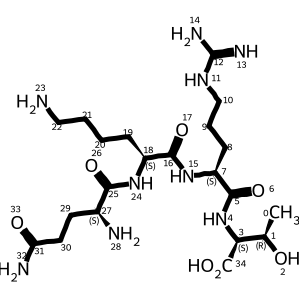 C[C@@H](O)[C@H](NC(=O)[C@H](CCCNC(=N)N)NC(=O)[C@H](CCCCN)NC(=O)[C@@H](N)CCC(N)=O)C(=O)O